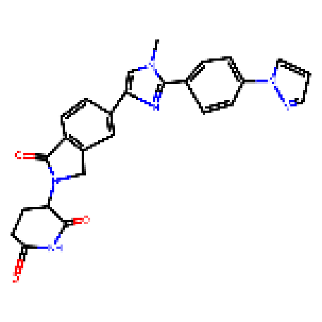 Cn1cc(-c2ccc3c(c2)CN(C2CCC(=O)NC2=O)C3=O)nc1-c1ccc(-n2cccn2)cc1